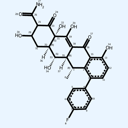 C[C@H]1c2c(-c3ccc(F)cc3)ccc(O)c2C(=O)C2=C(O)[C@]3(O)C(=O)C(C(N)=O)C(O)C[C@@H]3[C@@H](O)[C@@H]21